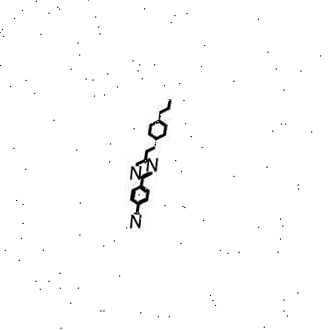 CCC[C@H]1CC[C@H](CCc2cnc(-c3ccc(C#N)cc3)cn2)CC1